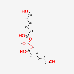 O=C(OC(O)CCCCCO)OC(O)CCCCCO